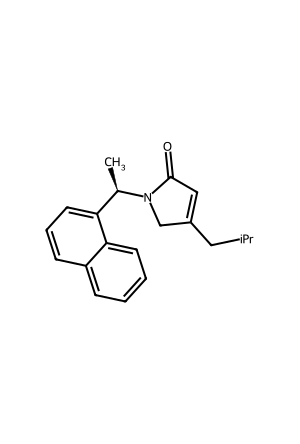 CC(C)CC1=CC(=O)N([C@H](C)c2cccc3ccccc23)C1